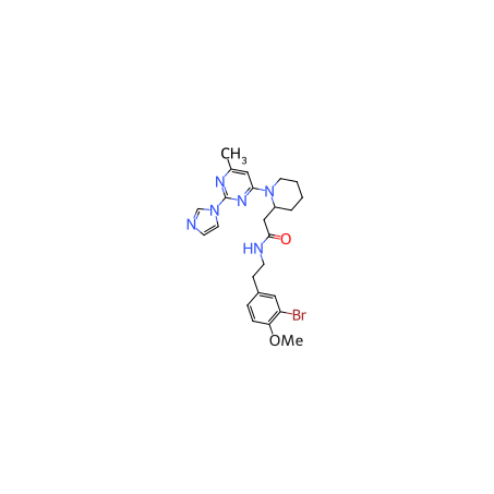 COc1ccc(CCNC(=O)CC2CCCCN2c2cc(C)nc(-n3ccnc3)n2)cc1Br